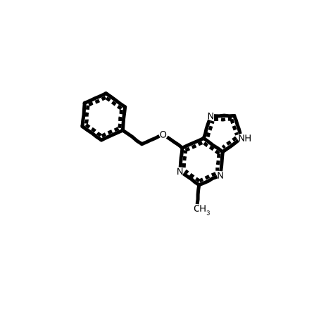 Cc1nc(OCc2ccccc2)c2nc[nH]c2n1